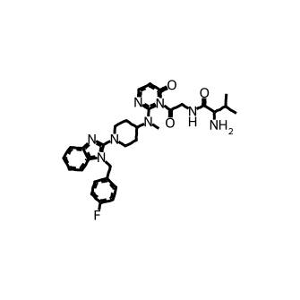 CC(C)C(N)C(=O)NCC(=O)n1c(N(C)C2CCN(c3nc4ccccc4n3Cc3ccc(F)cc3)CC2)nccc1=O